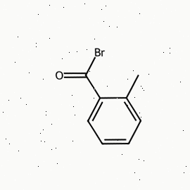 Cc1ccccc1C(=O)Br